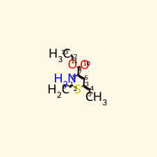 C=CSC(=C\C)/C=C(\N)C(=O)OCC